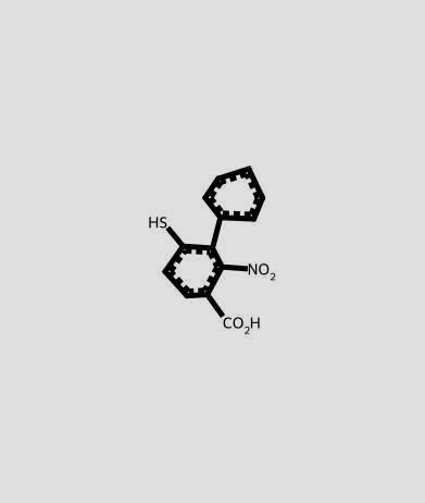 O=C(O)c1ccc(S)c(-c2ccccc2)c1[N+](=O)[O-]